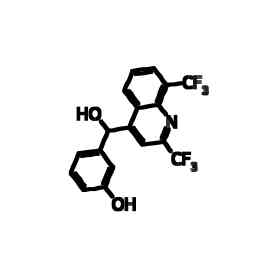 Oc1cccc(C(O)c2cc(C(F)(F)F)nc3c(C(F)(F)F)cccc23)c1